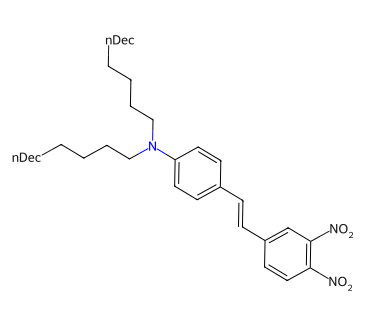 CCCCCCCCCCCCCCN(CCCCCCCCCCCCCC)c1ccc(C=Cc2ccc([N+](=O)[O-])c([N+](=O)[O-])c2)cc1